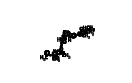 COc1cc2c(cc1OCCCC(=O)Nc1cn(C)c(C(=O)Nc3ccc(-c4cc(C(=O)NCC(C)(C)S)n(C)c4)cc3)n1)N=C[C@H](Cc1ccccc1C)N(C)C2=O